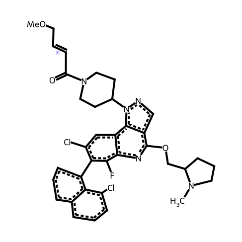 COC/C=C/C(=O)N1CCC(n2ncc3c(OCC4CCCN4C)nc4c(F)c(-c5cccc6cccc(Cl)c56)c(Cl)cc4c32)CC1